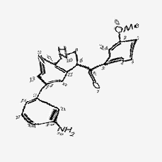 COc1cccc(C(=O)C2CNc3ncc(-c4cccc(N)c4)cc32)c1